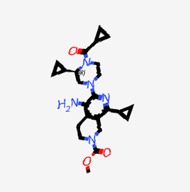 COC(=O)N1CCc2c(N)c(N3CCN(C(=O)C4CC4)[C@H](C4CC4)C3)nc(C3CC3)c2C1